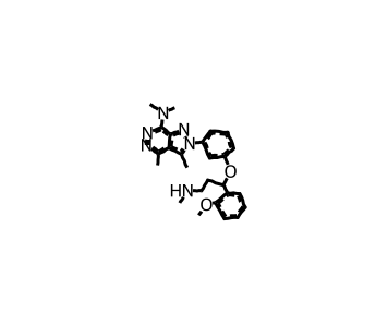 CNCCC(Oc1cccc(-n2nc3c(N(C)C)nnc(C)c3c2C)c1)c1ccccc1OC